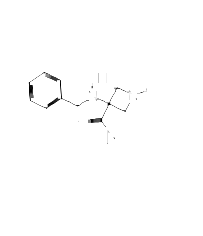 CNC(=O)C1(N(C)Cc2ccccc2)CN(C)C1